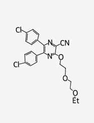 CCOCCOCCOc1nc(-c2ccc(Cl)cc2)c(-c2ccc(Cl)cc2)nc1C#N